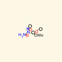 COc1cc(CN(CC(N)=O)c2nc3ccccc3o2)ccc1OCc1ccccc1